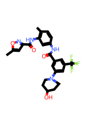 Cc1cc(C(=O)Nc2cc(NC(=O)c3cc(N4CCC(O)CC4)cc(C(F)(F)F)c3)ccc2C)no1